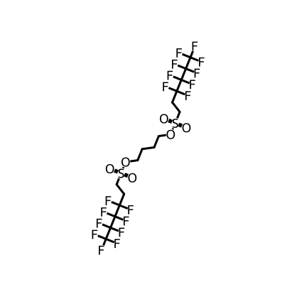 O=S(=O)(CCC(F)(F)C(F)(F)C(F)(F)C(F)(F)F)OCCCCOS(=O)(=O)CCC(F)(F)C(F)(F)C(F)(F)C(F)(F)F